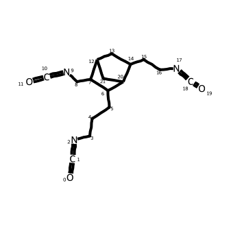 O=C=NCCCC1C(CN=C=O)C2CC(CCN=C=O)C1C2